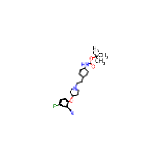 CC(C)(C)OC(=O)NC1CCC(CCN2CCC(Oc3ccc(F)cc3C#N)CC2)CC1